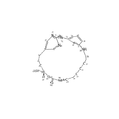 C#C[C@@H]1CCCc2cnc(nc2)Nc2cccc(n2)NCCCCCCNC(=O)O1